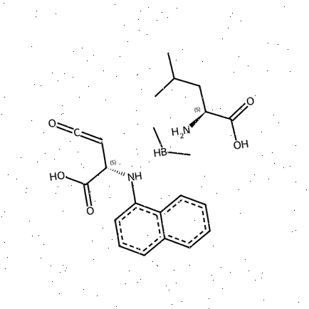 CBC.CC(C)C[C@H](N)C(=O)O.O=C=C[C@H](Nc1cccc2ccccc12)C(=O)O